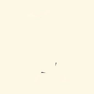 O=C[C@@H]1COC[C@@H]1C/C=C\CCCC(=O)O